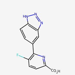 O=C(O)c1ccc(F)c(-c2ccc3[nH]nnc3c2)n1